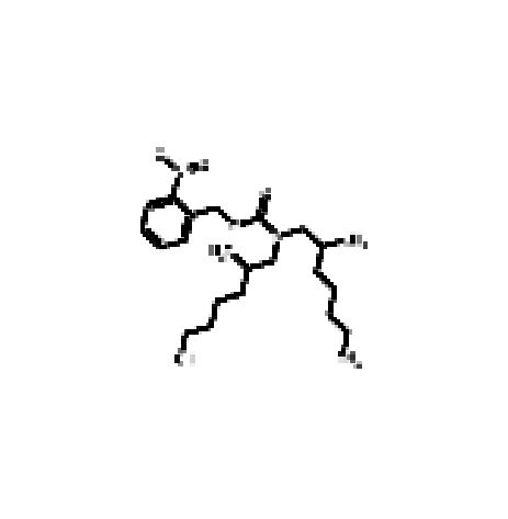 CCCCCC(C)CN(CC(C)CCCCC)C(=O)OCc1ccccc1[N+](=O)[O-]